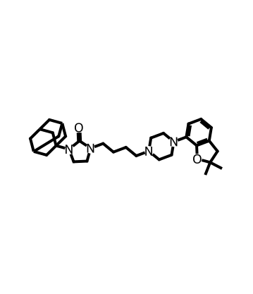 CC1(C)Cc2cccc(N3CCN(CCCCN4CCN(C56CC7CC(CC(C7)C5)C6)C4=O)CC3)c2O1